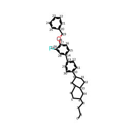 CCCCC1CCC2CC(c3ccc(-c4ccc(OCc5ccccc5)c(F)c4)cc3)CCC2C1